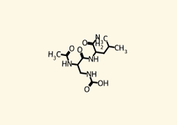 CC(=O)NC(CNC(=O)O)C(=O)NC(CC(C)C)C(N)=O